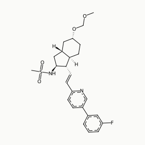 COCO[C@@H]1CC[C@@H]2[C@@H](C1)C[C@H](NS(C)(=O)=O)[C@H]2/C=C/c1ccc(-c2cccc(F)c2)cn1